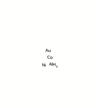 [AlH3].[Au].[Co].[Ni]